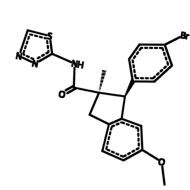 COc1ccc2c(c1)[C@H](c1ccc(Br)cc1)[C@](C)(C(=O)Nc1nncs1)C2